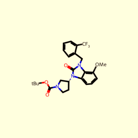 COc1cccc2c1n(Cc1ccccc1C(F)(F)F)c(=O)n2[C@@H]1CCN(C(=O)OC(C)(C)C)C1